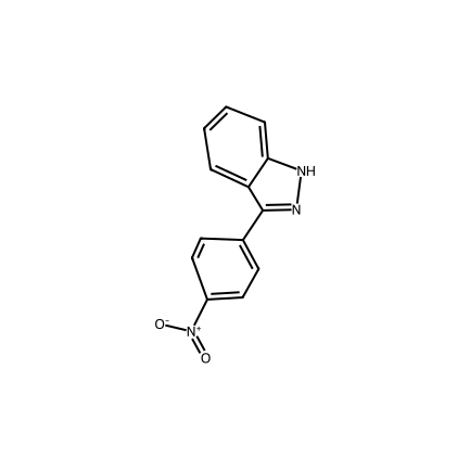 O=[N+]([O-])c1ccc(-c2n[nH]c3ccccc23)cc1